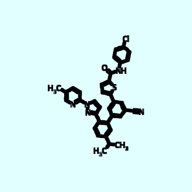 Cc1ccc(-n2ccc(-c3ccc(C(C)C)cc3-c3cc(C#N)cc(-c4ccc(C(=O)Nc5ccc(Cl)cc5)s4)c3)n2)nc1